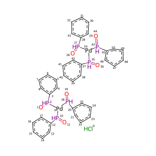 Cl.O=[PH](c1ccccc1)[Pd]([PH](=O)c1ccccc1)[PH](=O)c1ccccc1.O=[PH](c1ccccc1)[Pd]([PH](=O)c1ccccc1)[PH](=O)c1ccccc1